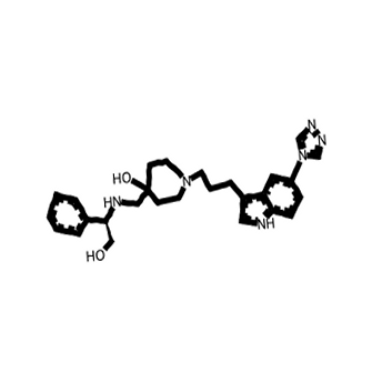 OC[C@H](NCC1(O)CCN(CCCc2c[nH]c3ccc(-n4cnnc4)cc23)CC1)c1ccccc1